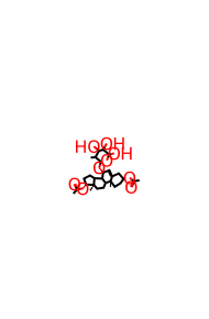 CC(=O)O[C@H]1CC[C@@]2(C)C(=C[C@H](OC3OC(O)C(O)C(O)C3C)C3C2CC[C@@]2(C)C3CC[C@@H]2OC(C)=O)C1